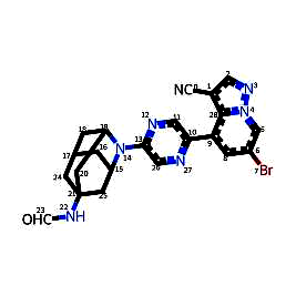 N#Cc1cnn2cc(Br)cc(-c3cnc(N4C5CC6CC4CC(NC=O)(C6)C5)cn3)c12